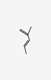 [CH2]C(=C)C=CC